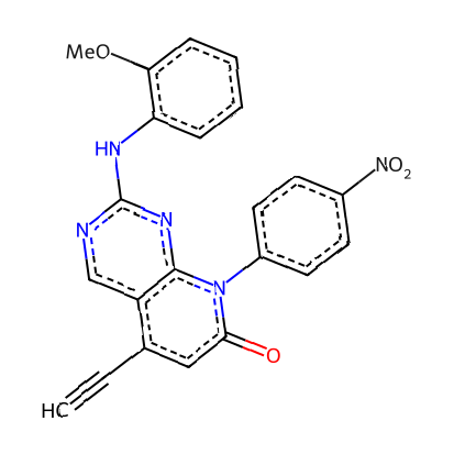 C#Cc1cc(=O)n(-c2ccc([N+](=O)[O-])cc2)c2nc(Nc3ccccc3OC)ncc12